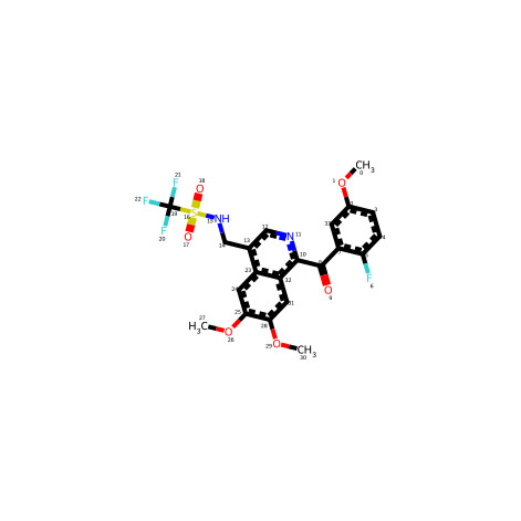 COc1ccc(F)c(C(=O)c2ncc(CNS(=O)(=O)C(F)(F)F)c3cc(OC)c(OC)cc23)c1